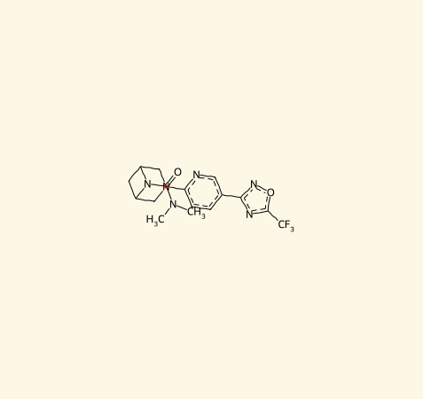 CN(C)C(=O)N1C2CC1CN(c1ccc(-c3noc(C(F)(F)F)n3)cn1)C2